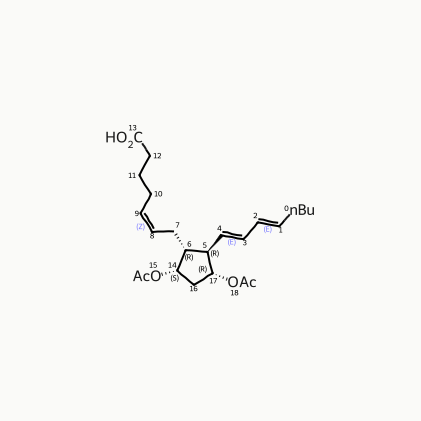 CCCC/C=C/C=C/[C@@H]1[C@@H](C/C=C\CCCC(=O)O)[C@@H](OC(C)=O)C[C@H]1OC(C)=O